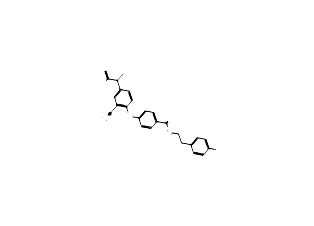 C=C(O)C(C)c1ccc(Oc2ccc(C(=O)NCCc3ccc(Cl)cc3)cc2)c(C#N)c1